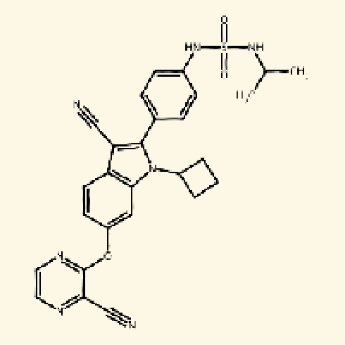 CC(C)NS(=O)(=O)Nc1ccc(-c2c(C#N)c3ccc(Oc4nccnc4C#N)cc3n2C2CCC2)cc1